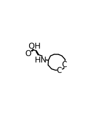 O=C(O)/C=C/CNC1CCCCCCCCCCC1